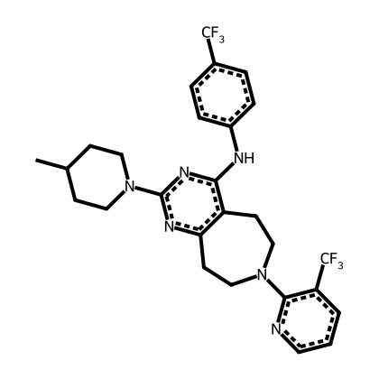 CC1CCN(c2nc3c(c(Nc4ccc(C(F)(F)F)cc4)n2)CCN(c2ncccc2C(F)(F)F)CC3)CC1